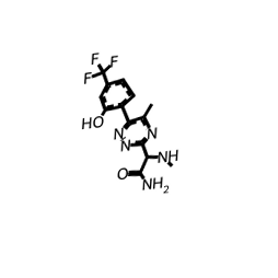 CNC(C(N)=O)c1nnc(-c2ccc(C(F)(F)F)cc2O)c(C)n1